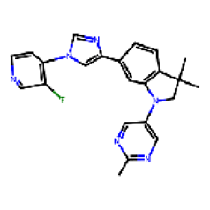 Cc1ncc(N2CC(C)(C)c3ccc(-c4cn(-c5ccncc5F)cn4)cc32)cn1